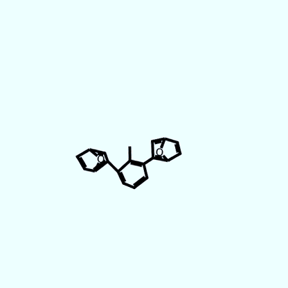 Cc1c(-c2cc3ccc2o3)cccc1-c1cc2ccc1o2